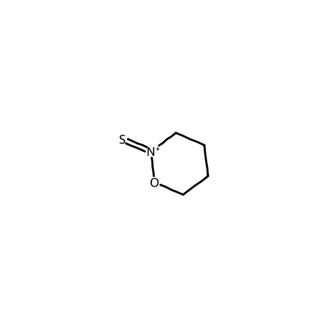 S=[N+]1CCCCO1